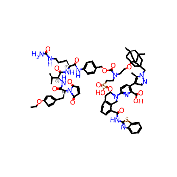 CCOc1ccc(C[C@@H](C(=O)N[C@H](C(=O)N[C@@H](CCCNC(N)=O)C(=O)Nc2ccc(COC(=O)N(CCOC34CC5(C)CC(C)(CC(Cn6ncc(-c7ccc(N8CCc9cccc(C(=O)Nc%10nc%11ccccc%11s%10)c9C8)nc7C(=O)O)c6C)(C5)C3)C4)CCS(=O)(=O)O)cc2)C(C)C)N2C(=O)C=CC2=O)cc1